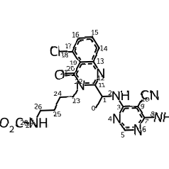 CC(Nc1ncnc(N)c1C#N)c1nc2cccc(Cl)c2c(=O)n1CCCCNC(=O)O